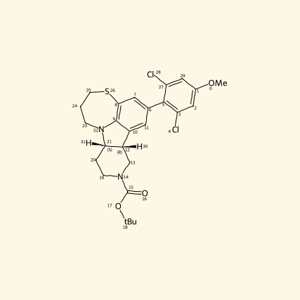 COc1cc(Cl)c(-c2cc3c4c(c2)[C@@H]2CN(C(=O)OC(C)(C)C)CC[C@@H]2N4CCCS3)c(Cl)c1